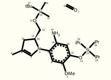 C=O.COc1cc(N2C=C(C)C[C@H]2CO[Si](C)(C)C(C)(C)C)c(N)cc1O[Si](C(C)C)(C(C)C)C(C)C